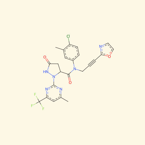 Cc1cc(C(F)(F)F)nc(N2NC(=O)CC2C(=O)N(CC#Cc2ncco2)c2ccc(Cl)c(C)c2)n1